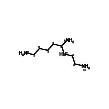 NCCCCC(N)NCCN